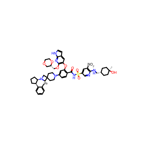 CC(C)c1ccccc1[C@H]1CCC[C@H]1N1CC2(CCN(c3ccc(C(=O)NS(=O)(=O)c4cnc(NC[C@H]5CC[C@](C)(O)CC5)c([N+](=O)[O-])c4)c(Oc4cc5cc[nH]c5nc4OC[C@@H]4COCCO4)c3)CC2)C1